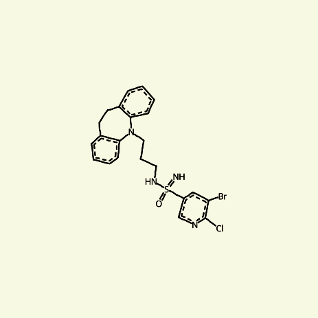 N=S(=O)(NCCCN1c2ccccc2CCc2ccccc21)c1cnc(Cl)c(Br)c1